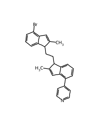 CC1=Cc2c(Br)cccc2C1CCC1C(C)=Cc2c(-c3ccncc3)cccc21